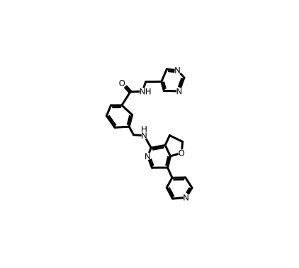 O=C(NCc1cncnc1)c1cccc(CNc2ncc(-c3ccncc3)c3c2CCO3)c1